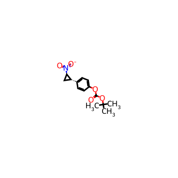 CC(C)(C)OC(=O)Oc1ccc([C@@H]2C[C@H]2[N+](=O)[O-])cc1